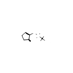 CC(C)(C)[Si](C)(C)OC1=CCCC1=O